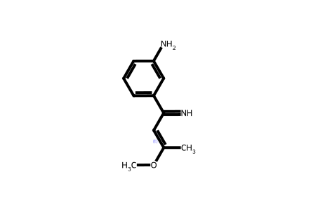 CO/C(C)=C/C(=N)c1cccc(N)c1